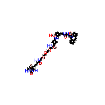 O=C(CCCC[C@@H]1SC[C@@H]2NC(=O)N[C@@H]21)NCCOCCOCCOCCNC(=O)c1ccc(/N=N/c2cc(CCNC(=O)CCC(=O)N3Cc4ccccc4C#Cc4ccccc43)ccc2O)cc1